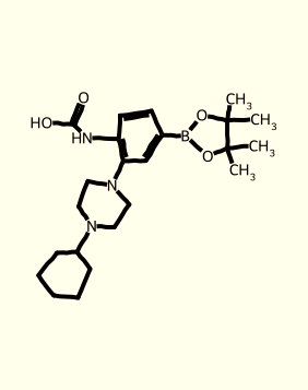 CC1(C)OB(c2ccc(NC(=O)O)c(N3CCN(C4CCCCC4)CC3)c2)OC1(C)C